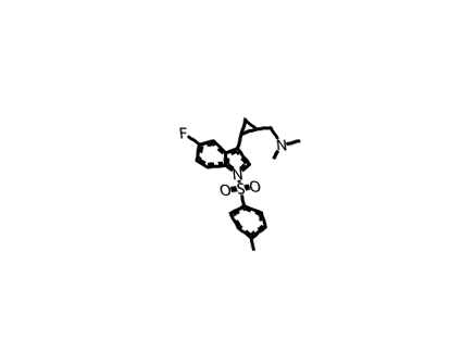 Cc1ccc(S(=O)(=O)n2cc(C3CC3CN(C)C)c3cc(F)ccc32)cc1